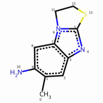 Cc1cc2nc3n(c2cc1N)CCS3